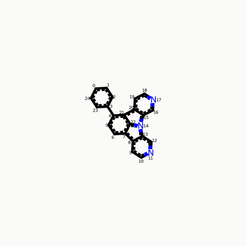 c1ccc(-c2ccc3c4ccncc4n4c5cnccc5c2c34)cc1